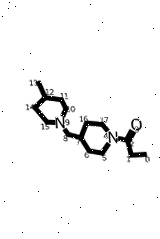 CCC(=O)N1CCC(CN2CCC(C)CC2)CC1